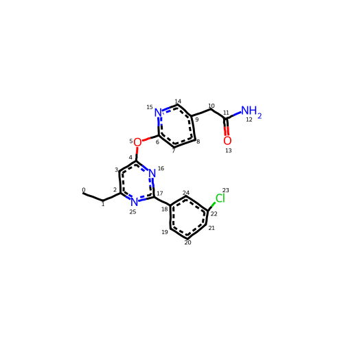 CCc1cc(Oc2ccc(CC(N)=O)cn2)nc(-c2cccc(Cl)c2)n1